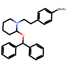 CC(=O)Nc1ccc(CCN2CCCCC2OC(c2ccccc2)c2ccccc2)cc1